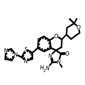 CN1C(=O)C2(CC(C3CCOC(C)(C)C3)Oc3ccc(-c4cnc(-n5ccnc5)s4)cc32)N=C1N